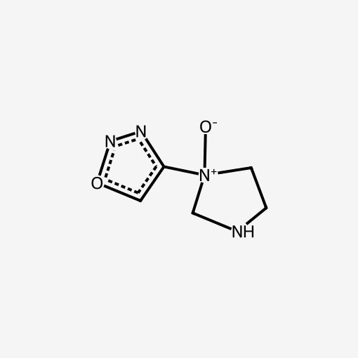 [O-][N+]1(c2conn2)CCNC1